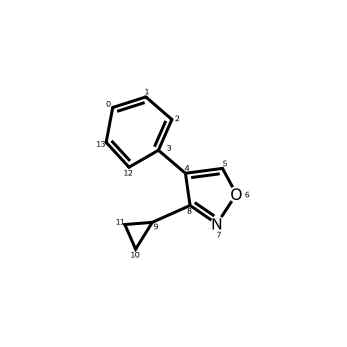 c1ccc(-c2conc2C2CC2)cc1